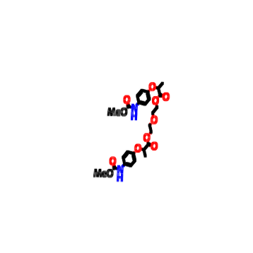 COC(=O)Nc1ccc(OC(C)C(=O)OCCOCCOC(=O)C(C)Oc2ccc(NC(=O)OC)cc2)cc1